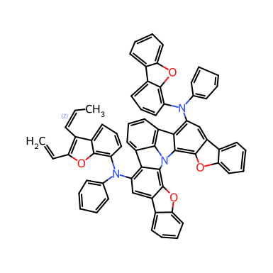 C=Cc1oc2c(N(c3ccccc3)c3cc4c5ccccc5oc4c4c3c3cccc5c6c(N(c7ccccc7)c7cccc8c7oc7ccccc78)cc7c8ccccc8oc7c6n4c35)cccc2c1/C=C\C